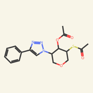 CC(=O)OC1C(SC(C)=O)COCC1n1cc(-c2ccccc2)nn1